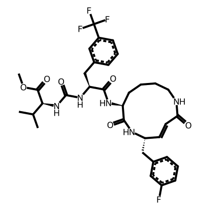 COC(=O)[C@@H](NC(=O)N[C@@H](Cc1cccc(C(F)(F)F)c1)C(=O)N[C@H]1CCCCNC(=O)/C=C/[C@H](Cc2cccc(F)c2)NC1=O)C(C)C